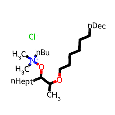 CCCCCCCCCCCCCCCCOC(C)C(CCCCCCC)O[N+](C)(C)CCCC.[Cl-]